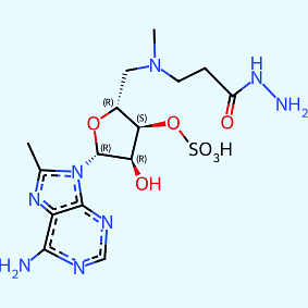 Cc1nc2c(N)ncnc2n1[C@@H]1O[C@H](CN(C)CCC(=O)NN)[C@@H](OS(=O)(=O)O)[C@H]1O